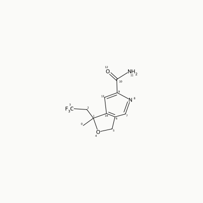 CC1(CC(F)(F)F)OCc2cnc(C(N)=O)cc21